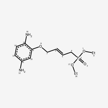 CCOP(=O)(C/C=C/COc1cc(N)ccc1N)OCC